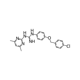 Cc1cc(C)nc(NC(=N)Nc2ccc(OCc3ccc(Cl)cc3)cc2)n1